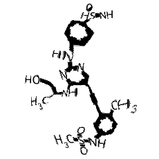 Cc1ccc(NS(C)(=O)=O)cc1C#Cc1cnc(Nc2ccc([SH](=N)=O)cc2)nc1N[C@H](C)CO